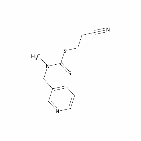 CN(Cc1cccnc1)C(=S)SCCC#N